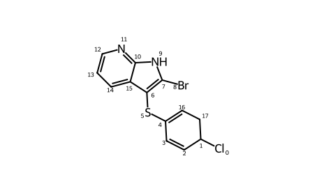 ClC1C=CC(Sc2c(Br)[nH]c3ncccc23)=CC1